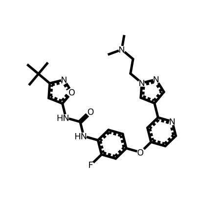 CN(C)CCn1cc(-c2cc(Oc3ccc(NC(=O)Nc4cc(C(C)(C)C)no4)c(F)c3)ccn2)cn1